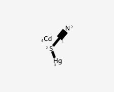 N#C[S][Hg].[Cd]